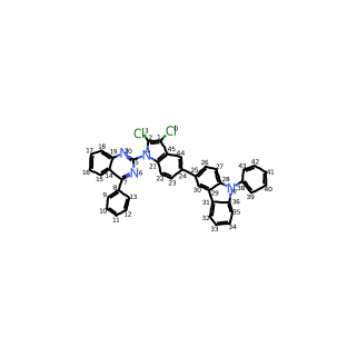 Clc1c(Cl)n(-c2nc(-c3ccccc3)c3ccccc3n2)c2ccc(-c3ccc4c(c3)c3ccccc3n4-c3ccccc3)cc12